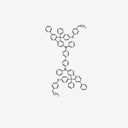 C=Cc1ccc(Sc2ccc(C3(c4ccccc4)c4cc(-c5ccccc5)ccc4-c4ccc(N(c5ccccc5)c5ccc(-c6ccc(N(c7ccccc7)c7ccc8c(c7)C(c7ccccc7)(c7ccc(Sc9ccc(C=C)cc9)cc7)c7cc(-c9ccccc9)ccc7-8)cc6)cc5)cc43)cc2)cc1